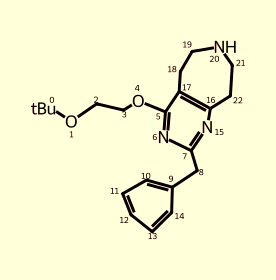 CC(C)(C)OCCOc1nc(Cc2ccccc2)nc2c1CCNCC2